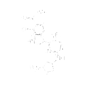 COC(=O)c1ccc2c(-c3nc(N[C@H]4CC[C@H](N)C4)ncc3C(F)(F)F)c[nH]c2c1Cl